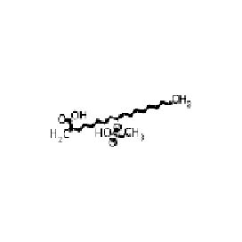 C=C(CCCCCCCCCCCCCCCC)C(=O)O.CCS(=O)(=O)O